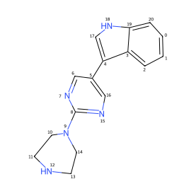 c1ccc2c(-c3cnc(N4CCNCC4)nc3)c[nH]c2c1